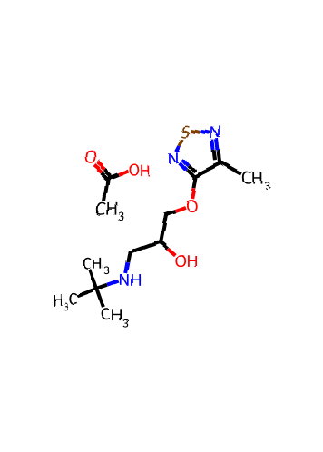 CC(=O)O.Cc1nsnc1OCC(O)CNC(C)(C)C